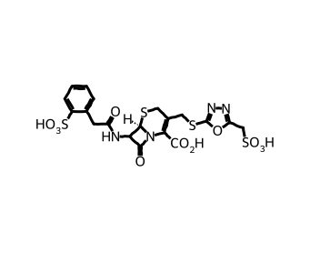 O=C(Cc1ccccc1S(=O)(=O)O)NC1C(=O)N2C(C(=O)O)=C(CSc3nnc(CS(=O)(=O)O)o3)CS[C@H]12